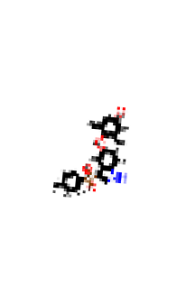 Cc1ccc(S(=O)(=O)c2c[nH]c3ccc(Oc4c(C)cc([O])cc4C)cc23)cc1